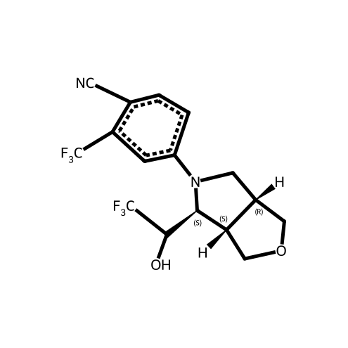 N#Cc1ccc(N2C[C@@H]3COC[C@@H]3[C@H]2C(O)C(F)(F)F)cc1C(F)(F)F